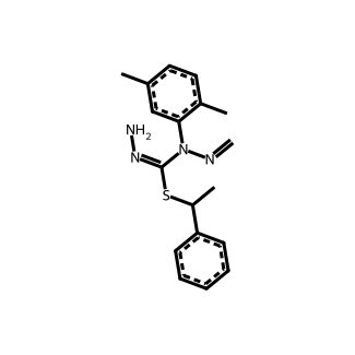 C=NN(/C(=N\N)SC(C)c1ccccc1)c1cc(C)ccc1C